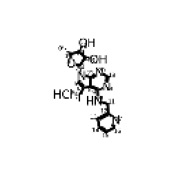 C[C@H]1O[C@@H](n2cc(I)c3c(NCc4ccccn4)ncnc32)[C@H](O)[C@@H]1O.Cl